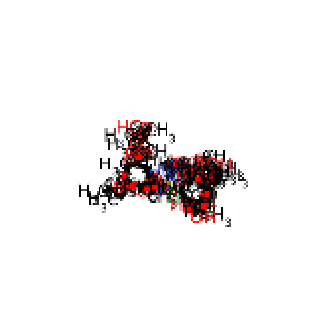 CC[C@H](C)[C@H]1O[C@]2(C=C[C@@H]1C)C[C@@H]1C[C@@H](C/C=C(\C)[C@@H](O[C@H]3C[C@H](OC)[C@@H](O[C@H]4C[C@H](OC)[C@@H](O)[C@H](C)O4)[C@H](C)O3)[C@@H](C)/C=C/C=C3\CO[C@@H]4[C@H](O)C(C)=C[C@@H](C(=O)O1)[C@]34O)O2.CN/C(=N\[N+](=O)[O-])NCc1cnc(Cl)s1.CO[C@H]1C[C@H](O[C@H]2[C@H](C)O[C@@H](O[C@@H]3/C(C)=C/C[C@@H]4C[C@@H](C[C@]5(C=C[C@H](C)[C@@H](C(C)C)O5)O4)OC(=O)[C@@H]4C=C(C)[C@@H](O)[C@H]5OC/C(=C\C=C\[C@@H]3C)[C@]54O)C[C@@H]2OC)O[C@@H](C)[C@@H]1O